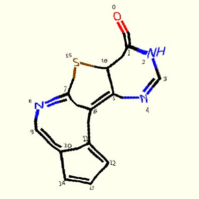 O=C1NC=NC2=c3c(ncc4c3=CC=C4)SC12